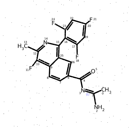 C/C(N)=N\C(=O)c1ccc2c(F)c(C)nc(-c3c(F)cc(F)cc3F)c2c1